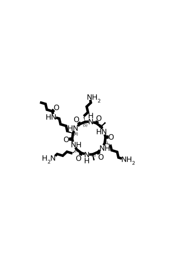 CCCC(=O)NCCCC[C@H]1NC(=O)[C@H](CCCCN)NC(=O)[C@@H](C)NC(=O)[C@H](CCCCN)NC(=O)[C@@H](C)NC(=O)[C@H](CCCCN)NC1=O